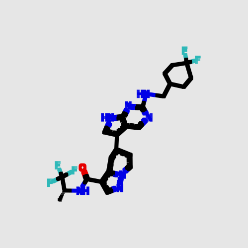 C[C@@H](NC(=O)c1cnn2ccc(-c3c[nH]c4nc(NCC5CCC(F)(F)CC5)ncc34)cc12)C(F)(F)F